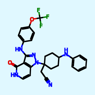 N#CCC1(n2nc(Nc3ccc(OC(F)(F)F)cc3)c3c(=O)[nH]ccc32)CCC(Nc2ccccc2)CC1